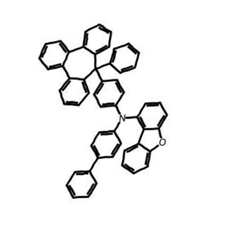 c1ccc(-c2ccc(N(c3ccc(C4(c5ccccc5)c5ccccc5-c5ccccc5-c5ccccc54)cc3)c3cccc4oc5ccccc5c34)cc2)cc1